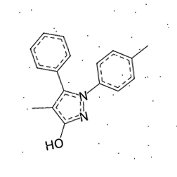 Cc1ccc(-n2nc(O)c(C)c2-c2ccccc2)cc1